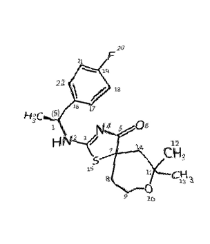 C[C@H](NC1=NC(=O)C2(CCOC(C)(C)C2)S1)c1ccc(F)cc1